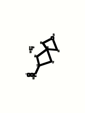 O=C([O-])C1CC2(COC2)C1.[Li+]